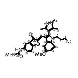 [C-]#[N+]CCCn1c(-c2c(C)nn(C)c2C)c(/C=C2\Oc3ccc(NC(=O)NC)cc3C2=O)c2cc(OC)ccc21